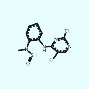 CN([SH]=O)c1ccccc1Nc1nc(Cl)ncc1Cl